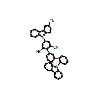 N#Cc1ccc2c(c1)c1ccccc1n2-c1cc(C#N)c(-c2cccc(-c3ccccc3-n3c4ccccc4c4ccccc43)c2)c(C#N)c1